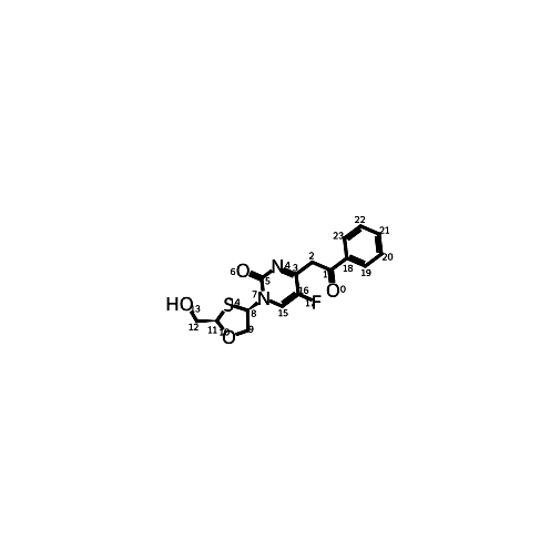 O=C(Cc1nc(=O)n([C@H]2CO[C@@H](CO)S2)cc1F)c1ccccc1